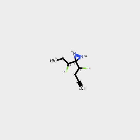 C#CCC(F)C1(C(F)CC(C)(C)C)N=N1